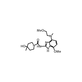 COCCN(C)c1ccc(OC)c2[nH]c(NC(=O)N3CCC(C)(O)CC3)nc12